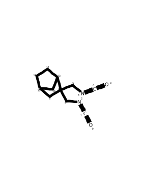 O=C=NCC1(CN=C=O)CC2CCC1C2